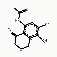 CC(=O)Nc1cc(F)c(O)c2c1C(=O)CCC2